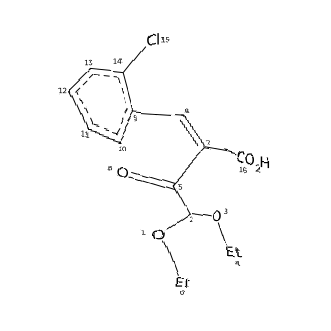 CCOC(OCC)C(=O)C(=Cc1ccccc1Cl)C(=O)O